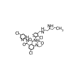 CCCC(=N)CCNCc1csc(NC(=O)c2c(C(=O)Nc3ccc(Cl)cn3)cc(Cl)cc2N2CCOCC2)c1Cl